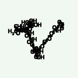 CCC(C)(C)C(=O)OCc1ccc(O[C@@H]2O[C@H](CO)[C@H](O)[C@H](O)[C@@H]2O)c(NC(=O)CCNC(=O)COCCNC(=O)[C@H](CS(=O)(=O)O)NC(=O)CCOCCOCCOCCOCCNC(=O)CCN2C(=O)C=CC2=O)c1